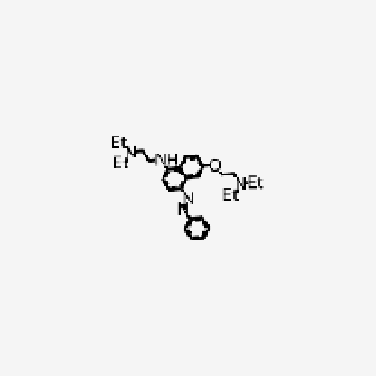 CCN(CC)CCNc1ccc(N=Nc2ccccc2)c2cc(OCCN(CC)CC)ccc12